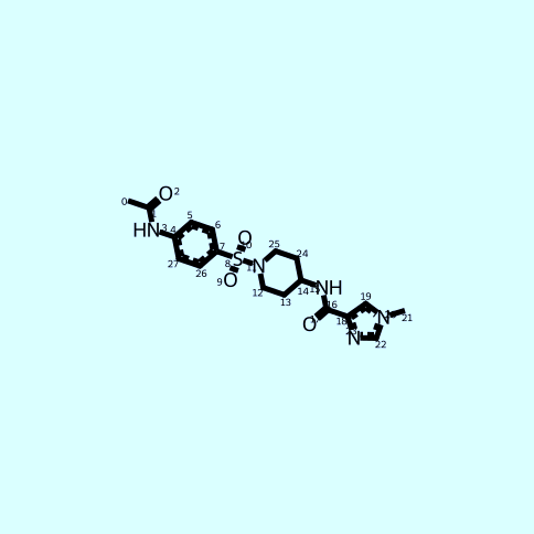 CC(=O)Nc1ccc(S(=O)(=O)N2CCC(NC(=O)c3cn(C)cn3)CC2)cc1